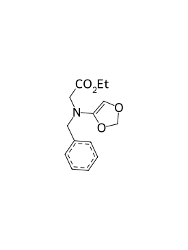 CCOC(=O)CN(Cc1ccccc1)C1=COCO1